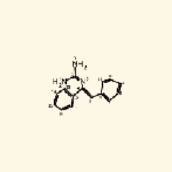 NC(N)=NC(=Cc1ccccc1)c1ccccc1